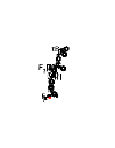 CC1(C)CCC(CN2CCN(c3ccc(C(=O)NS(=O)(=O)c4ccc(NC(CCN5CCN(CCO[Si](c6ccccc6)(c6ccccc6)C(C)(C)C)CC5)CSc5ccccc5)c(S(=O)(=O)C(F)(F)F)c4)cc3)CC2)=C(C23CC(C(F)F)(C2)C3)C1